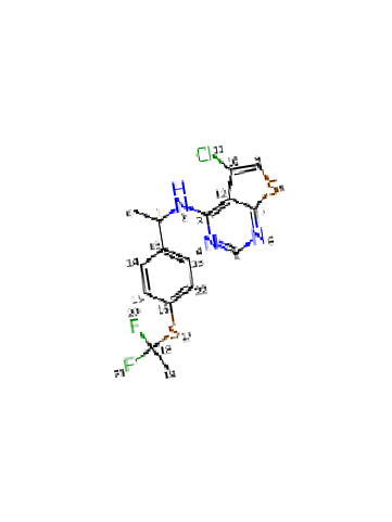 CC(Nc1ncnc2scc(Cl)c12)c1ccc(SC(C)(F)F)cc1